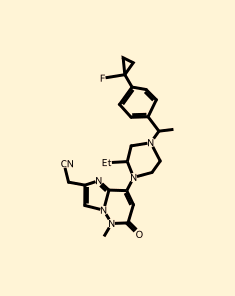 CCC1CN(C(C)c2ccc(C3(F)CC3)cc2)CCN1c1cc(=O)n(C)n2cc(CC#N)nc12